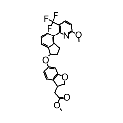 COC(=O)CC1COc2cc(O[C@@H]3CCc4c(-c5nc(OC)ccc5C(F)(F)F)cccc43)ccc21